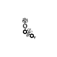 CC(C)(C)OC(=O)N1CCN(c2cccc(S(=O)(=O)c3ccc(F)cc3)c2C(F)(F)F)CC1